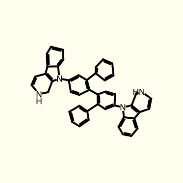 C1=Cc2c(n(-c3ccc(-c4ccc(-n5c6c(c7ccccc75)C=CNC6)cc4-c4ccccc4)c(-c4ccccc4)c3)c3ccccc23)CN1